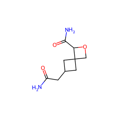 NC(=O)CC1CC2(COC2C(N)=O)C1